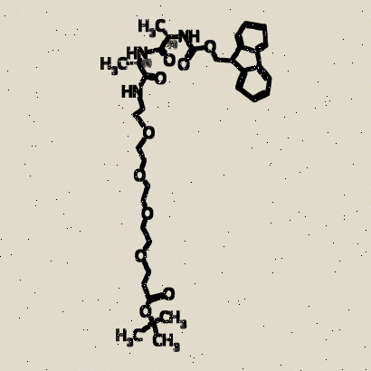 C[C@H](NC(=O)OCC1c2ccccc2-c2ccccc21)C(=O)N[C@@H](C)C(=O)NCCOCCOCCOCCOCCC(=O)OC(C)(C)C